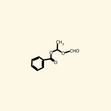 CC(OC=O)OC(=O)c1ccccc1